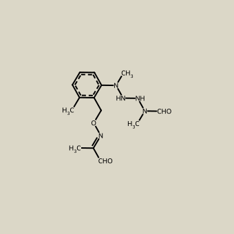 CC(C=O)=NOCc1c(C)cccc1N(C)NNN(C)C=O